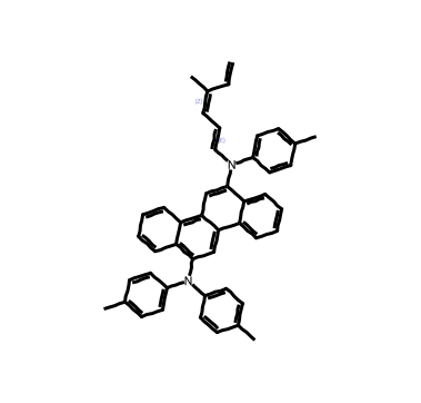 C=C/C(C)=C\C=C\N(c1ccc(C)cc1)c1cc2c3ccccc3c(N(c3ccc(C)cc3)c3ccc(C)cc3)cc2c2ccccc12